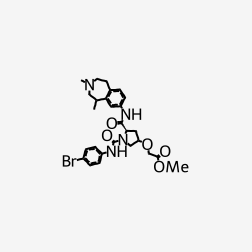 COC(=O)COC1C[C@H](C(=O)Nc2ccc3c(c2)C(C)CN(C)CC3)N(C(=O)Nc2ccc(Br)cc2)C1